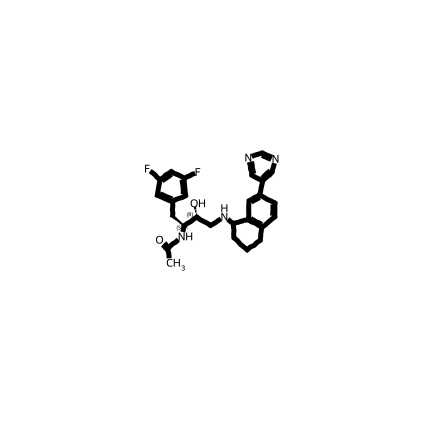 CC(=O)N[C@@H](Cc1cc(F)cc(F)c1)[C@H](O)CNC1CCCc2ccc(-c3cncnc3)cc21